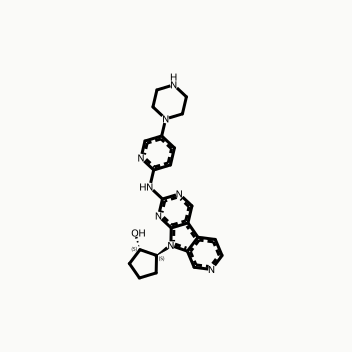 O[C@H]1CCC[C@@H]1n1c2cnccc2c2cnc(Nc3ccc(N4CCNCC4)cn3)nc21